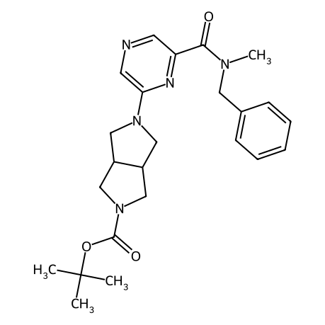 CN(Cc1ccccc1)C(=O)c1cncc(N2CC3CN(C(=O)OC(C)(C)C)CC3C2)n1